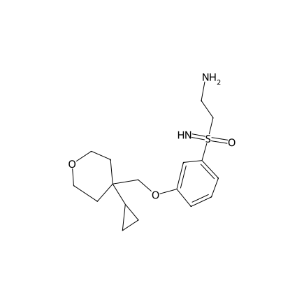 N=S(=O)(CCN)c1cccc(OCC2(C3CC3)CCOCC2)c1